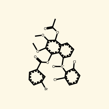 COc1c(OC)c(OC(=O)c2cccc(Br)c2)c2c([S+]([O-])c3c(Cl)cccc3Cl)cccc2c1OC(C)=O